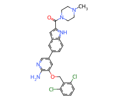 CN1CCN(C(=O)c2cc3cc(-c4cnc(N)c(OCc5c(Cl)cccc5Cl)c4)ccc3[nH]2)CC1